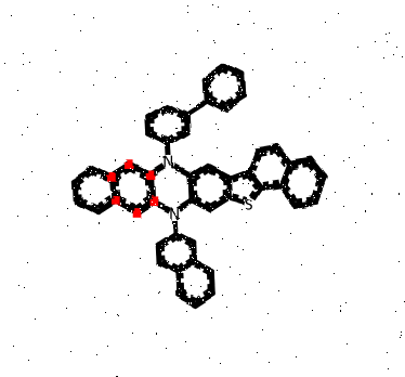 c1ccc(-c2cccc(N(c3ccc4ccccc4c3)c3cc4c(cc3N(c3ccccc3)c3ccc5ccccc5c3)sc3c5ccccc5ccc43)c2)cc1